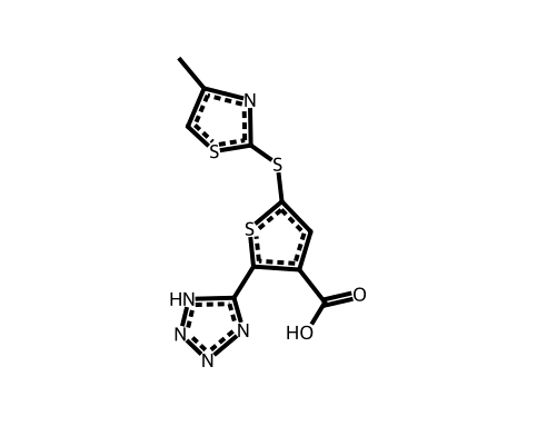 Cc1csc(Sc2cc(C(=O)O)c(-c3nnn[nH]3)s2)n1